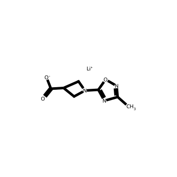 Cc1noc(N2CC(C(=O)[O-])C2)n1.[Li+]